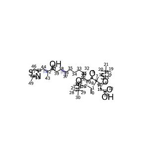 C=CC[C@@H](C(=O)C(C)(C)[C@H](CC(=O)O)O[Si](C)(C)C(C)(C)C)[C@@H](O[Si](C)(C)C(C)(C)C)[C@@H](C)CCC/C(C)=C/C[C@H](O)/C(C)=C/c1csc(C)n1